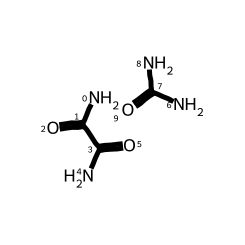 NC(=O)C(N)=O.NC(N)=O